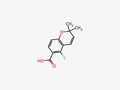 CC1(C)C=Cc2c(ccc(C(=O)O)c2F)O1